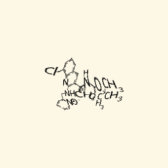 C[C@H](NC(=O)OC(C)(C)C)c1cc2cccc(Cl)c2nc1NCc1cccc[n+]1[O-]